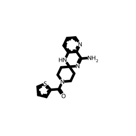 NC1=NC2(CCN(C(=O)c3cccs3)CC2)Nc2cccnc21